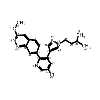 COc1cc2ccc(-c3ncc(Cl)cc3-c3cnn(CCC(C)C)c3)cc2nn1